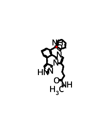 CNC(=O)CCCc1cn(C2CCCCC2)c(-c2c(C(N)=O)cccc2-c2cn[nH]c2)n1